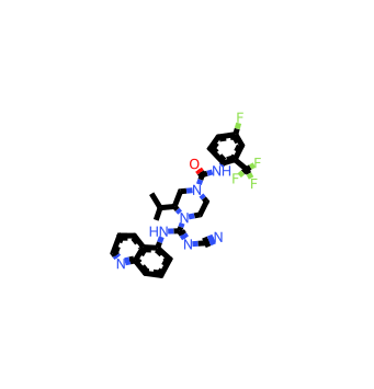 CC(C)C1CN(C(=O)Nc2ccc(F)cc2C(F)(F)F)CCN1/C(=N\C#N)Nc1cccc2ncccc12